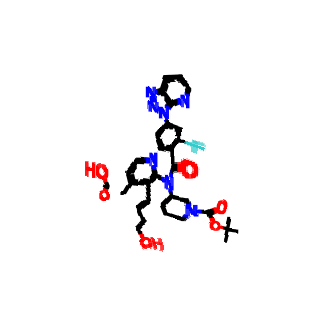 Cc1ccnc(N(C(=O)c2ccc(-n3nnc4cccnc43)cc2F)[C@@H]2CCCN(C(=O)OC(C)(C)C)C2)c1/C=C/CCO.O=CO